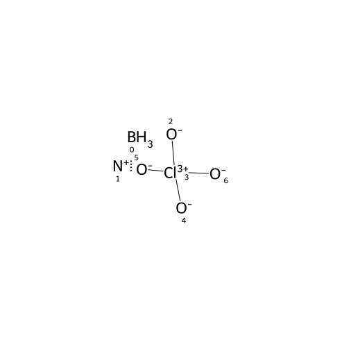 B.[N+].[O-][Cl+3]([O-])([O-])[O-]